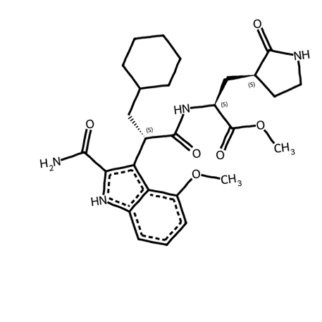 COC(=O)[C@H](C[C@@H]1CCNC1=O)NC(=O)[C@@H](CC1CCCCC1)c1c(C(N)=O)[nH]c2cccc(OC)c12